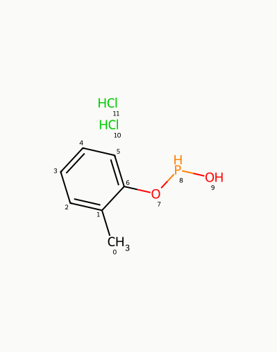 Cc1ccccc1OPO.Cl.Cl